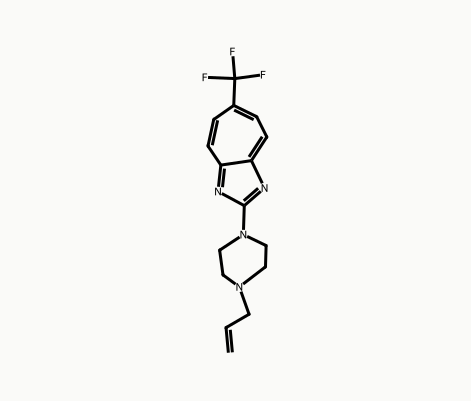 C=CCN1CCN(c2nc3ccc(C(F)(F)F)ccc-3n2)CC1